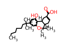 CCCCCCC(C)(C)c1cc(O)c2c(c1)OC(C)(C)[C@H]1CC=C(C(=O)O)C[C@H]21